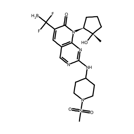 BC(F)(F)c1cc2cnc(NC3CCN(S(C)(=O)=O)CC3)nc2n([C@H]2CCC[C@]2(C)O)c1=O